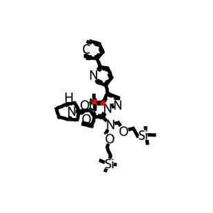 C=Cc1c(C2CC3CC[C@H](C2)N3C(=O)OC(C)(C)C)nc2c(-c3ccc(-c4ccccc4)nc3)cnn2c1N(COCC[Si](C)(C)C)COCC[Si](C)(C)C